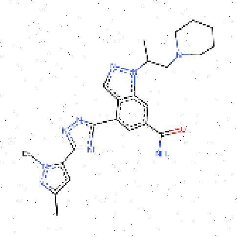 CCn1nc(C)cc1-c1nnc(-c2cc(C(N)=O)cc3c2cnn3C(C)CN2CCCCC2)[nH]1